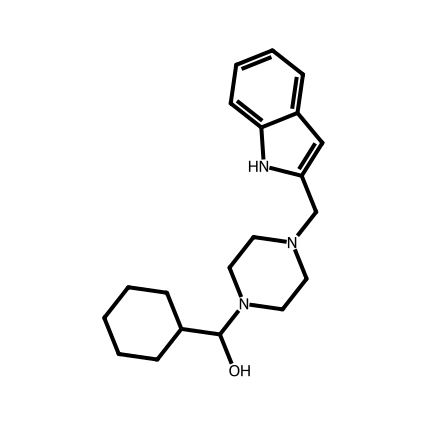 OC(C1CCCCC1)N1CCN(Cc2cc3ccccc3[nH]2)CC1